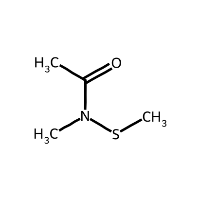 CSN(C)C(C)=O